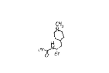 CC[C@@H](CC1CCN(C)CC1)NC(=O)C(C)C